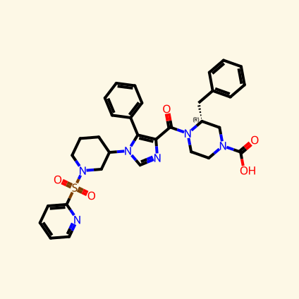 O=C(O)N1CCN(C(=O)c2ncn(C3CCCN(S(=O)(=O)c4ccccn4)C3)c2-c2ccccc2)[C@H](Cc2ccccc2)C1